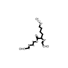 O=C=NCCCCC(N=CC=O)C(=O)OCCN=CC=O